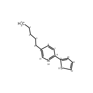 CCCCCc1ccc(-c2cccs2)nc1